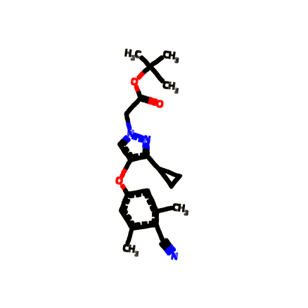 Cc1cc(Oc2cn(CC(=O)OC(C)(C)C)nc2C2CC2)cc(C)c1C#N